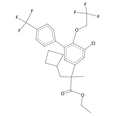 CCOC(=O)C(C)(CC1CCC1)c1cc(Cl)c(OCC(F)(F)F)c(-c2ccc(C(F)(F)F)cc2)c1